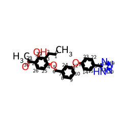 CCCc1c(OCc2cccc(Oc3ccc(-c4nnn[nH]4)cc3)c2)ccc(C(C)=O)c1O